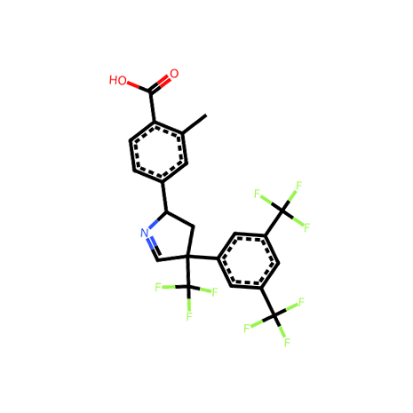 Cc1cc(C2CC(c3cc(C(F)(F)F)cc(C(F)(F)F)c3)(C(F)(F)F)C=N2)ccc1C(=O)O